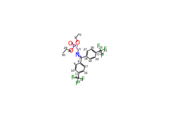 CCOP(=O)(CN=C(c1ccc(C(F)(F)F)cc1)c1ccc(C(F)(F)F)cc1)OCC